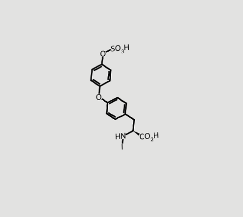 O=C(O)[C@H](Cc1ccc(Oc2ccc(OS(=O)(=O)O)cc2)cc1)NI